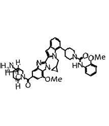 COc1ccccc1NC(=O)N1CCC(c2cccc3cc(-c4nc5cc(C(=O)N6C[C@H]7CC[C@@H]6C[C@@H]7N)cc(OC)c5n4C)n(CC4CC4)c23)CC1